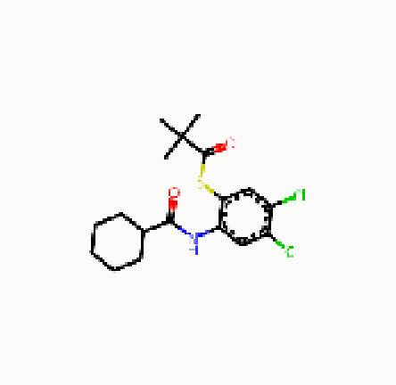 CC(C)(C)C(=O)Sc1cc(Cl)c(Cl)cc1NC(=O)C1CCCCC1